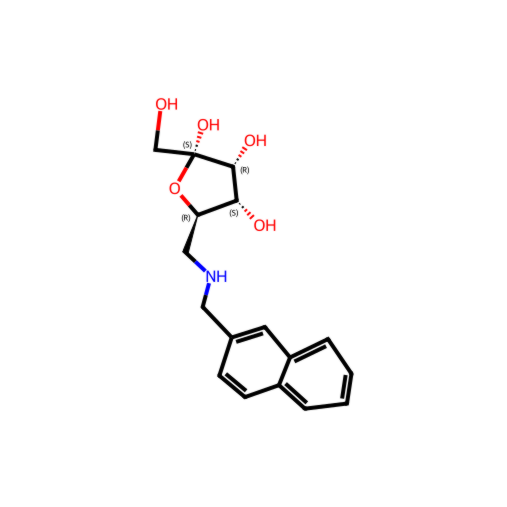 OC[C@]1(O)O[C@H](CNCc2ccc3ccccc3c2)[C@@H](O)[C@H]1O